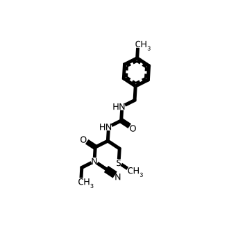 CCN(C#N)C(=O)C(CSC)NC(=O)NCc1ccc(C)cc1